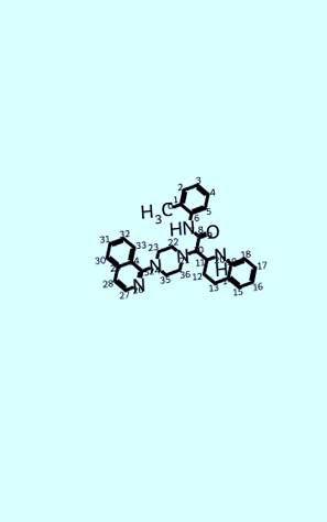 Cc1ccccc1NC(=O)C(C1CCc2ccccc2N1)N1CCN(c2nccc3ccccc23)CC1